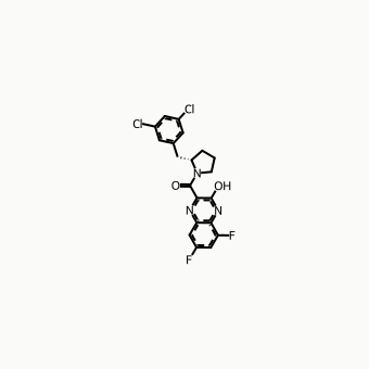 O=C(c1nc2cc(F)cc(F)c2nc1O)N1CCC[C@H]1Cc1cc(Cl)cc(Cl)c1